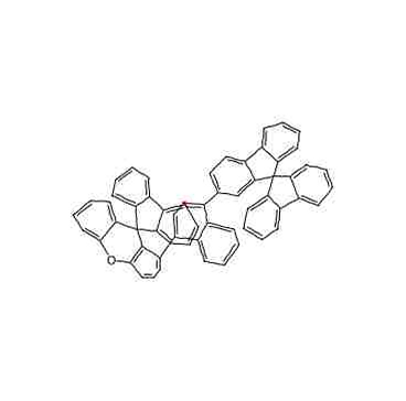 c1ccc2c(c1)Oc1cccc(-c3ccc(-c4ccc5c(c4)C4(c6ccccc6-c6ccccc64)c4ccccc4-5)c4ccccc34)c1C21c2ccccc2-c2ccccc21